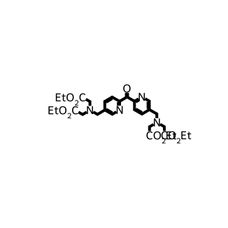 CCOC(=O)CN(CC(=O)OCC)Cc1ccc(C(=O)c2ccc(CN(CC(=O)OCC)CC(=O)OCC)cn2)nc1